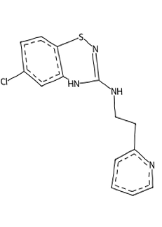 Clc1ccc2c(c1)NC(NCCc1ccccn1)=NS2